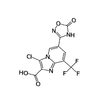 O=C(O)c1nc2c(C(F)(F)F)cc(-c3noc(=O)[nH]3)cn2c1Cl